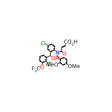 COc1ccc(CN(C(=O)/C=C/C(=O)O)c2ccc(Cl)cc2C(O)c2cccc(OC(F)(F)F)c2Cl)c(OC)c1